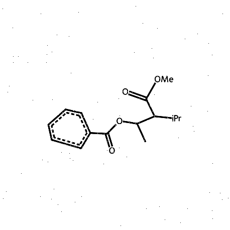 COC(=O)C(C(C)C)C(C)OC(=O)c1ccccc1